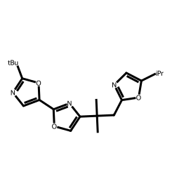 CC(C)c1cnc(CC(C)(C)c2coc(-c3cnc(C(C)(C)C)o3)n2)o1